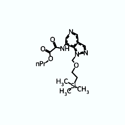 CCCOC(=O)C(=O)Nc1cncc2cnn(COCC[Si](C)(C)C)c12